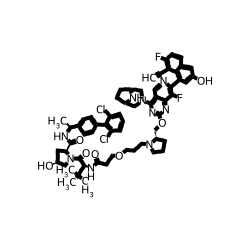 C#Cc1c(F)ccc2cc(O)cc(-c3ncc4c(N5CC6CCC(C5)N6)nc(OC[C@@H]5CCCN5CCCOCCC(=O)N[C@H](C(=O)N5C[C@H](O)C[C@H]5C(=O)N[C@@H](C)c5ccc(-c6c(Cl)cccc6Cl)cc5)C(C)(C)C)nc4c3F)c12